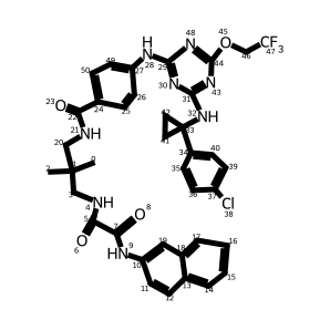 CC(C)(CNC(=O)C(=O)Nc1ccc2ccccc2c1)CNC(=O)c1ccc(Nc2nc(NC3(c4ccc(Cl)cc4)CC3)nc(OCC(F)(F)F)n2)cc1